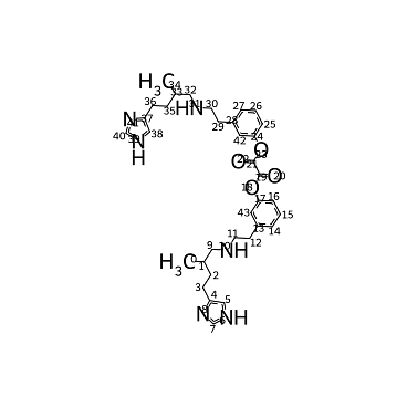 CC(CCc1c[nH]cn1)CNCCc1cccc(OC(=O)C(=O)Oc2cccc(CCNCC(C)CCc3c[nH]cn3)c2)c1